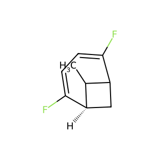 CC1C2C[C@H]1C(F)=CC=C2F